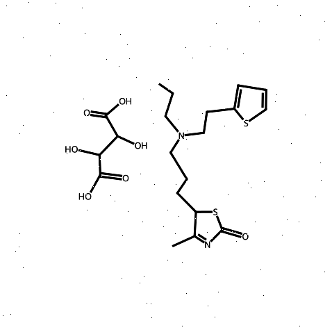 CCCN(CCCC1SC(=O)N=C1C)CCc1cccs1.O=C(O)C(O)C(O)C(=O)O